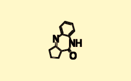 O=C1Nc2ccccc2N=C2CCCC12